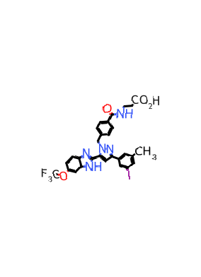 Cc1cc(I)cc(-c2cc(C3=NC4C=CC(OC(F)(F)F)=CC4N3)n(Cc3ccc(C(=O)NCCC(=O)O)cc3)n2)c1